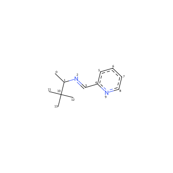 CC(N=Cc1ccccn1)C(C)(C)C